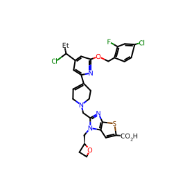 CCC(Cl)c1cc(OCc2ccc(Cl)cc2F)nc(C2=CCN(Cc3nc4sc(C(=O)O)cc4n3C[C@@H]3CCO3)CC2)c1